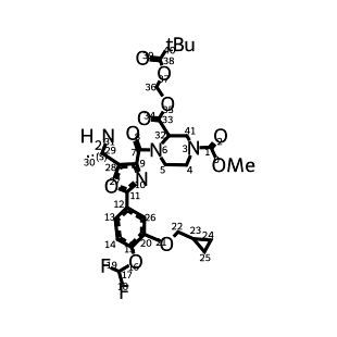 COC(=O)N1CCN(C(=O)c2nc(-c3ccc(OC(F)F)c(OCC4CC4)c3)oc2[C@H](C)N)C(C(=O)OCOC(=O)C(C)(C)C)C1